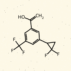 C=C(O)c1cc(C2CC2(F)F)cc(C(F)(F)F)c1